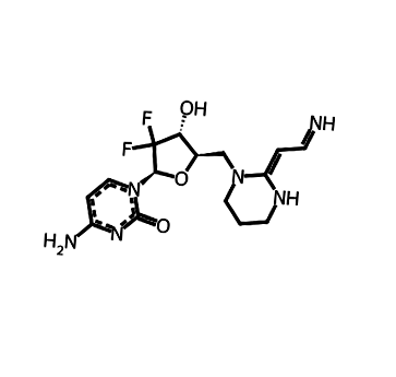 N=C/C=C1\NCCCN1C[C@H]1O[C@@H](n2ccc(N)nc2=O)C(F)(F)[C@@H]1O